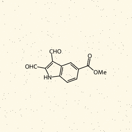 COC(=O)c1ccc2[nH]c(C=O)c(C=O)c2c1